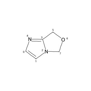 c1cn2c(n1)COC2